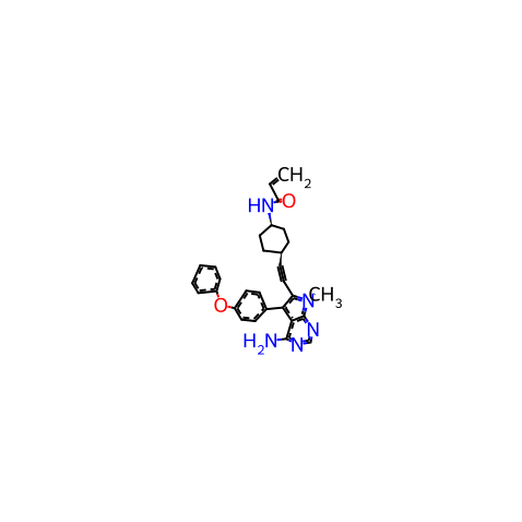 C=CC(=O)N[C@H]1CC[C@@H](C#Cc2c(-c3ccc(Oc4ccccc4)cc3)c3c(N)ncnc3n2C)CC1